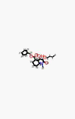 CCCCOc1c(O)c2c(C(=O)OCc3ccccc3)cccc2n(C)c1=O